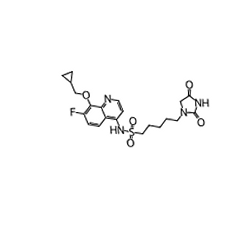 O=C1CN(CCCCCS(=O)(=O)Nc2ccnc3c(OCC4CC4)c(F)ccc23)C(=O)N1